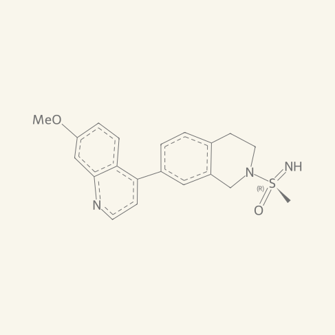 COc1ccc2c(-c3ccc4c(c3)CN([S@](C)(=N)=O)CC4)ccnc2c1